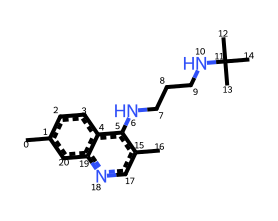 Cc1ccc2c(NCCCNC(C)(C)C)c(C)cnc2c1